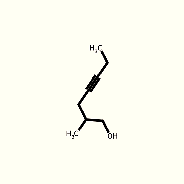 CCC#CCC(C)CO